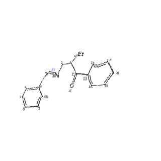 CCC(C/N=C/c1ccccc1)C(=O)c1ccccc1